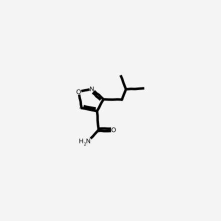 CC(C)Cc1no[c]c1C(N)=O